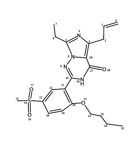 C=CCc1nc(CC)n2nc(-c3cc(S(C)(=O)=O)ccc3OCCCC)[nH]c(=O)c12